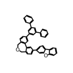 c1ccc(-c2cc(-c3ccccc3)cc(-c3ccc4c(c3)-c3cc(-c5ccc6c(c5)oc5ccccc56)ccc3COC4)c2)cc1